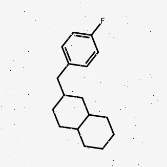 Fc1ccc(CC2CCC3CCCCC3C2)cc1